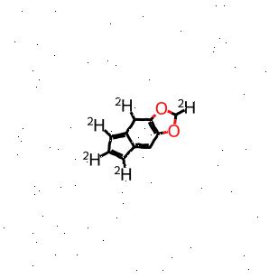 [2H]C1=C([2H])C([2H])=C2C1=CC1=C(OC([2H])O1)C2[2H]